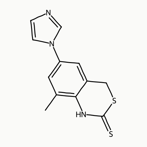 Cc1cc(-n2ccnc2)cc2c1NC(=S)SC2